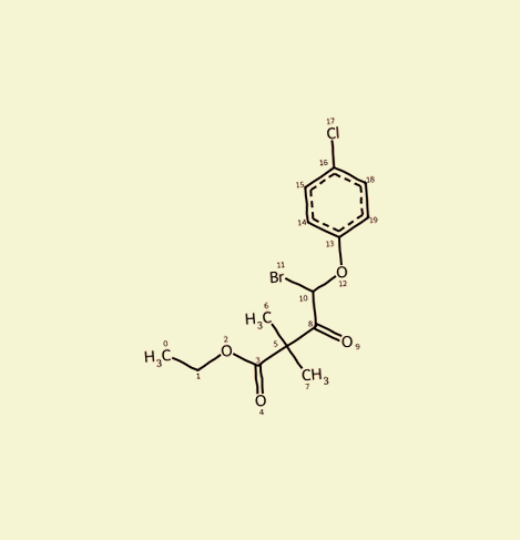 CCOC(=O)C(C)(C)C(=O)C(Br)Oc1ccc(Cl)cc1